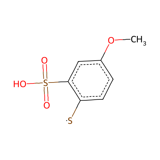 COc1ccc([S])c(S(=O)(=O)O)c1